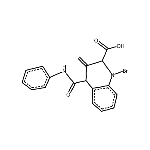 C=C1C(C(=O)Nc2ccccc2)c2ccccc2N(Br)C1C(=O)O